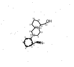 N#Cc1ccccc1N1CCN2C(CO)CCCC2C1